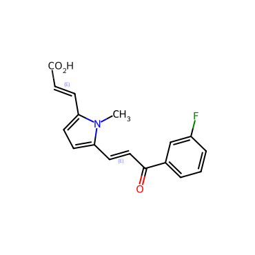 Cn1c(/C=C/C(=O)O)ccc1/C=C/C(=O)c1cccc(F)c1